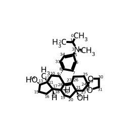 CC(C)N(C)c1ccc([C@H]2C[C@]3(C)[C@@H](O)CC[C@H]3[C@@H]3CC[C@@]4(O)CC5(CCC4=C32)OCCO5)cc1